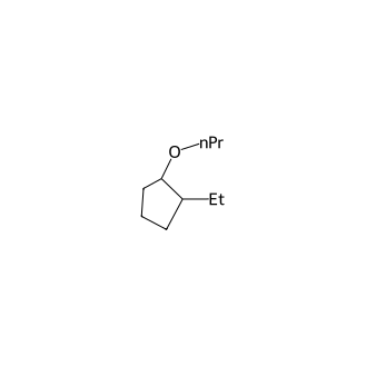 CCCOC1CCCC1CC